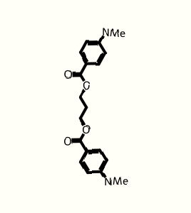 CNc1ccc(C(=O)OCCCOC(=O)c2ccc(NC)cc2)cc1